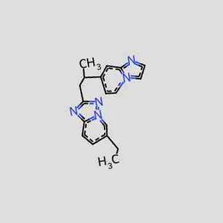 CCc1ccc2nc(CC(C)c3ccn4ccnc4c3)nn2c1